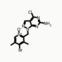 Cc1c[n+]([O-])c(Cn2ncc3c(Cl)nc(N)nc32)c(C)c1Br